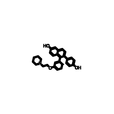 Oc1ccc(-c2ccc3cc(O)ccc3c2C2=CC(OCCN3CCCCC3)=CC[CH]2)cc1